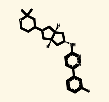 CC1(C)CC(N2C[C@H]3C[C@H](Nc4ccc(-c5cccc(F)c5)nn4)C[C@H]3C2)CCO1